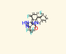 O=C(NCc1cccc(F)c1-c1ccc(F)cc1)c1c[nH]nc1C(F)(F)F